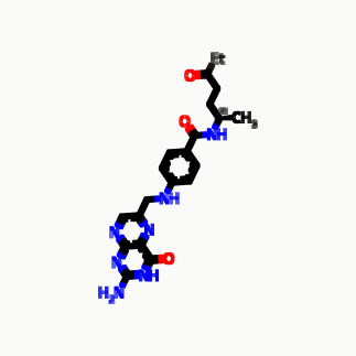 CCC(=O)CC[C@@H](C)NC(=O)c1ccc(NCc2cnc3nc(N)[nH]c(=O)c3n2)cc1